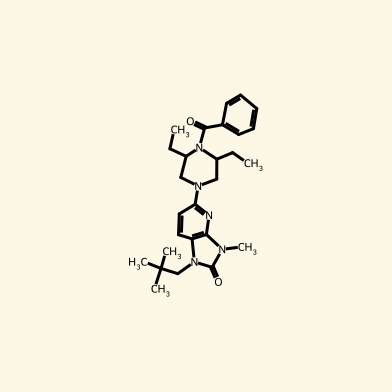 CCC1CN(c2ccc3c(n2)n(C)c(=O)n3CC(C)(C)C)CC(CC)N1C(=O)c1ccccc1